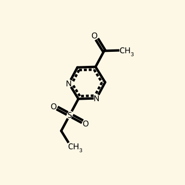 CCS(=O)(=O)c1ncc(C(C)=O)cn1